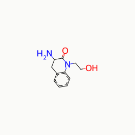 NC1Cc2ccccc2N(CCO)C1=O